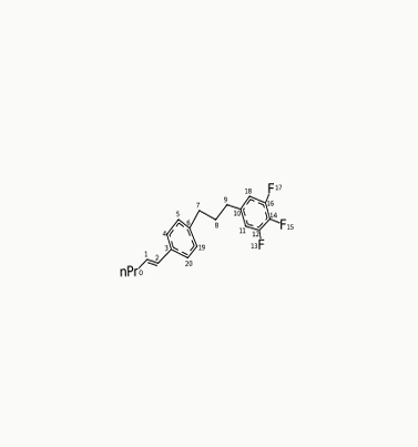 CCC/C=C/c1ccc(CCCc2cc(F)c(F)c(F)c2)cc1